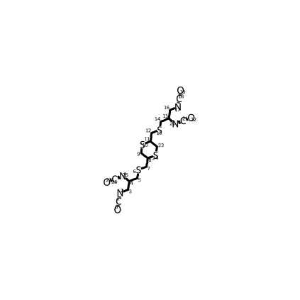 O=C=NCC(CSCC1CSC(CSCC(CN=C=O)N=C=O)CS1)N=C=O